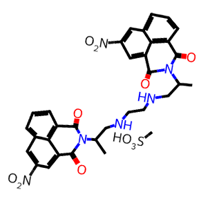 CC(CNCCNCC(C)N1C(=O)c2cccc3cc([N+](=O)[O-])cc(c23)C1=O)N1C(=O)c2cccc3cc([N+](=O)[O-])cc(c23)C1=O.CS(=O)(=O)O